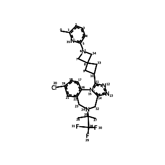 Cc1cccc(N2CC3(CC(c4nnc5n4-c4ccc(Cl)cc4CN(C(C)(C)C(F)(F)F)C5)C3)C2)n1